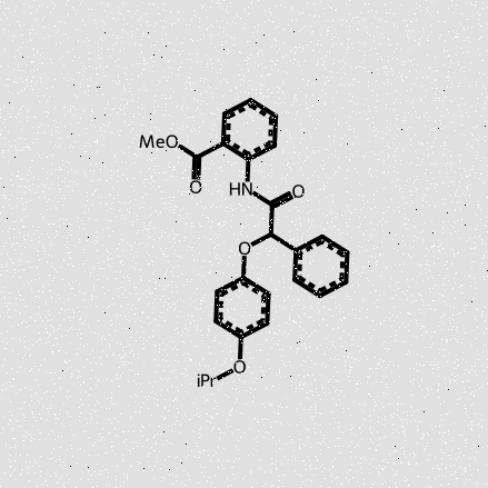 COC(=O)c1ccccc1NC(=O)C(Oc1ccc(OC(C)C)cc1)c1ccccc1